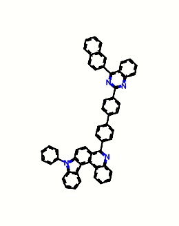 c1ccc(-n2c3ccccc3c3c4c(ccc32)c(-c2ccc(-c3ccc(-c5nc(-c6ccc7ccccc7c6)c6ccccc6n5)cc3)cc2)nc2ccccc24)cc1